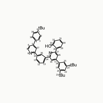 CC(C)(C)c1ccc(-c2ccnc(-c3cccc(-c4cc(-c5cc(C(C)(C)C)cc(C(C)(C)C)c5)cc(-c5ccccc5O)n4)c3)c2)cc1